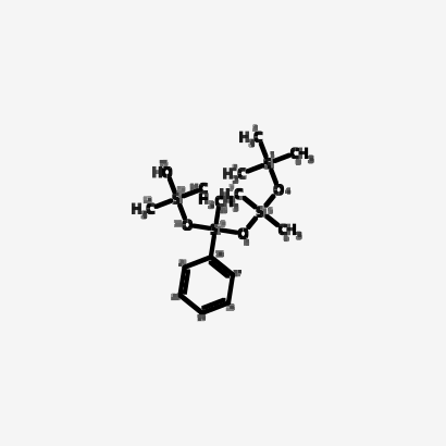 C[Si](C)(C)O[Si](C)(C)O[Si](C)(O[Si](C)(C)O)c1ccccc1